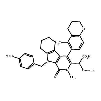 COc1ccc(Cn2c3c(c4c(-c5ccc6c(c5C)CCCO6)c(C(OC(C)(C)C)C(=O)O)n(C)c(=O)c42)CCCC3)cc1